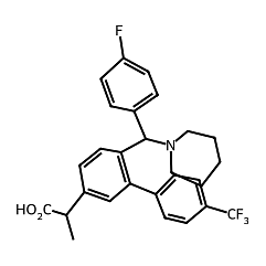 CC(C(=O)O)c1ccc(C(c2ccc(F)cc2)N2CCCCC2)c(-c2ccc(C(F)(F)F)cc2)c1